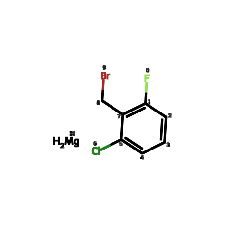 Fc1cccc(Cl)c1CBr.[MgH2]